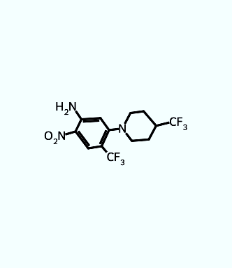 Nc1cc(N2CCC(C(F)(F)F)CC2)c(C(F)(F)F)cc1[N+](=O)[O-]